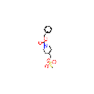 CS(=O)(=O)OCC1CCN(C(=O)OCc2ccccc2)CC1